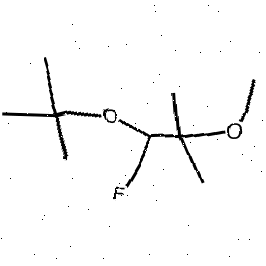 COC(C)(C)C(F)OC(C)(C)C